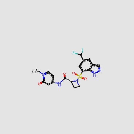 Cn1ccc(NC(=O)[C@@H]2CCN2S(=O)(=O)c2cc(C(F)F)cc3cn[nH]c23)cc1=O